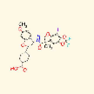 COc1ccc2c(c1)O[C@@H]([C@H]1CC[C@@H](C(=O)O)CC1)C[C@H]2NC(=O)[C@@]1(C)COc2c1cc1c(c2I)OC(F)(F)O1